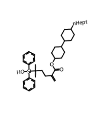 C=C(CCC(C)(C)[Si](O)(c1ccccc1)c1ccccc1)C(=O)OC1CCC(C2CCC(CCCCCCC)CC2)CC1